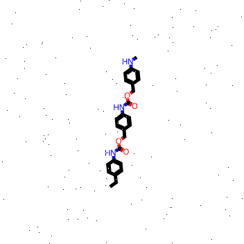 CCc1ccc(NC(=O)OCc2ccc(NC(=O)OCc3ccc(NC)cc3)cc2)cc1